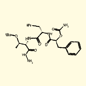 CC(C)C[C@H](NC(=O)[C@H](Cc1ccccc1)OC(N)=O)C(=O)N[C@H](C(=O)NN)[C@@H](C)OC(C)(C)C